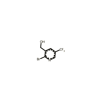 OCc1cc(C(F)(F)F)cnc1Br